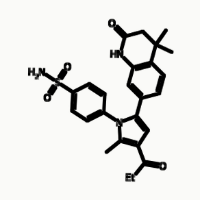 CCC(=O)c1cc(-c2ccc3c(c2)NC(=O)CC3(C)C)n(-c2ccc(S(N)(=O)=O)cc2)c1C